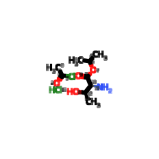 CC(=O)Cl.CC(C)OC(=O)[C@H](N)[C@@H](C)O.Cl